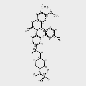 CCC(C)Oc1cc2c(cc1OC)CC(=O)N(c1ccc(N(C)CC3CCC(N(CC)S(C)(=O)=O)CC3)cc1)C2c1ccc(Cl)cc1